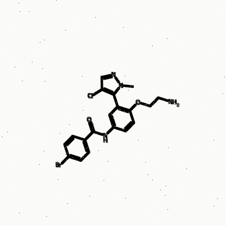 Cn1ncc(Cl)c1-c1cc(NC(=O)c2ccc(Br)cc2)ccc1OCCN